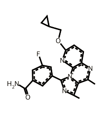 Cc1nc(-c2cc(F)cc(C(N)=O)c2)n2c1c(C)nc1ccc(OCC3CC3)nc12